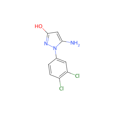 Nc1cc(O)nn1-c1ccc(Cl)c(Cl)c1